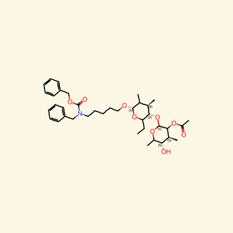 CCC1O[C@H](OCCCCCN(Cc2ccccc2)C(=O)OCc2ccccc2)C(C)[C@@H](C)[C@@H]1O[C@@H]1OC(C)[C@@H](O)[C@H](C)C1OC(C)=O